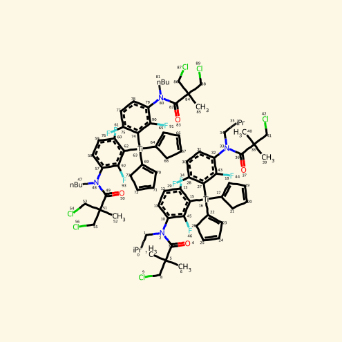 CC(C)CN(C(=O)C(C)(C)CCl)c1ccc(F)[c]([Ti]([C]2=CC=CC2)([C]2=CC=CC2)[c]2c(F)ccc(N(CC(C)C)C(=O)C(C)(C)CCl)c2F)c1F.CCCCN(C(=O)C(C)(CCl)CCl)c1ccc(F)[c]([Ti]([C]2=CC=CC2)([C]2=CC=CC2)[c]2c(F)ccc(N(CCCC)C(=O)C(C)(CCl)CCl)c2F)c1F